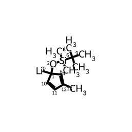 [Li][C]1(O[Si](C)(C)C(C)(C)C)C=CC(C)=C1